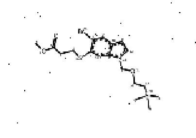 COC(=O)CCSc1nc2c(ccn2COCC[Si](C)(C)C)cc1Br